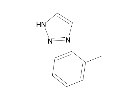 Cc1ccccc1.c1c[nH]nn1